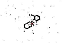 CC1CC2CCCC(C1)N2C(=O)Oc1c(Cl)cccc1[N+](=O)[O-]